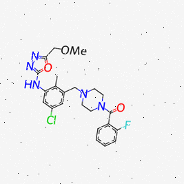 COCc1nnc(Nc2cc(Cl)cc(CN3CCN(C(=O)c4ccccc4F)CC3)c2C)o1